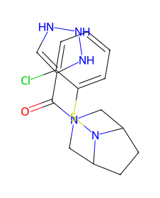 O=C(C1=CNNN1)N1CC2CCC(C1)N2Sc1ccccc1Cl